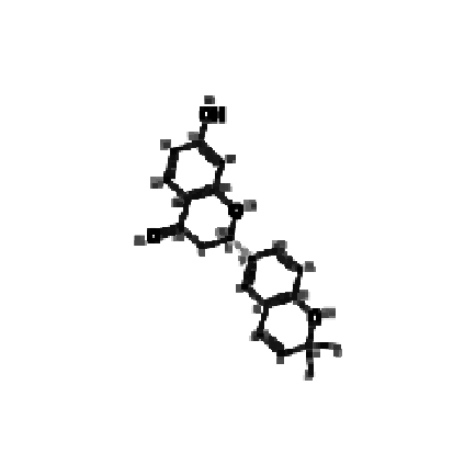 CC1(C)C=Cc2cc([C@@H]3CC(=O)c4ccc(O)cc4O3)ccc2O1